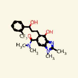 Cc1nc2c(O)c(CCC(O)c3ccccc3C(F)(F)F)c(C(=O)N(C)C)cc2n1C